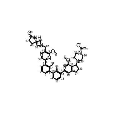 COc1nc(-c2cccc(-c3cccc(-c4cc5c(c(OC)n4)C(N4CCN(C(C)=O)CC4)CC5)c3C)c2C)cnc1CN1CC2(CCC(=O)N2)C1